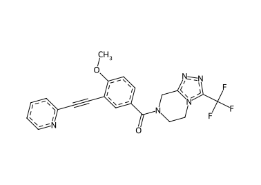 COc1ccc(C(=O)N2CCn3c(nnc3C(F)(F)F)C2)cc1C#Cc1ccccn1